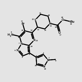 Cn1cc(-c2cnn3c(N)c(Br)c(C4CN(C(=O)OC(C)(C)C)CCS4)nc23)cn1